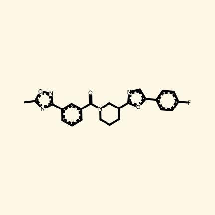 Cc1nc(-c2cccc(C(=O)N3CCCC(c4ncc(-c5ccc(F)cc5)o4)C3)c2)no1